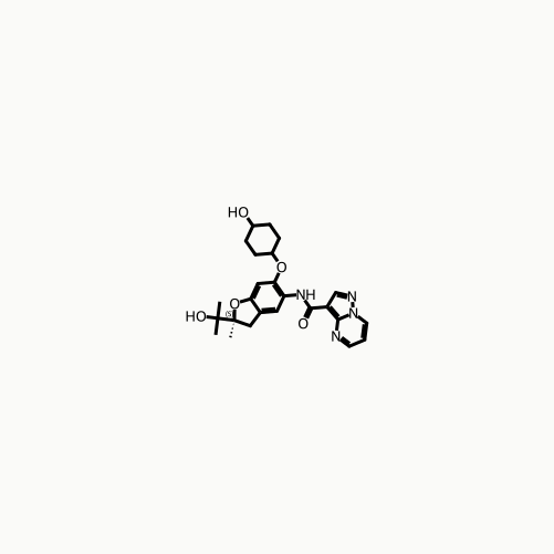 CC(C)(O)[C@]1(C)Cc2cc(NC(=O)c3cnn4cccnc34)c(OC3CCC(O)CC3)cc2O1